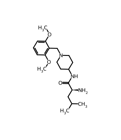 COc1cccc(OC)c1CN1CCC(NC(=O)[C@@H](N)CC(C)C)CC1